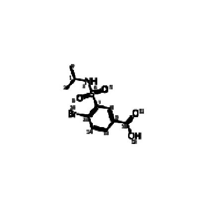 CC(C)NS(=O)(=O)c1cc(C(=O)O)ccc1Br